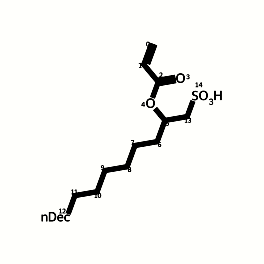 C=CC(=O)OC(CCCCCCCCCCCCCCCC)CS(=O)(=O)O